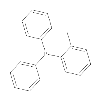 Cc1ccccc1P(c1ccccc1)c1ccccc1